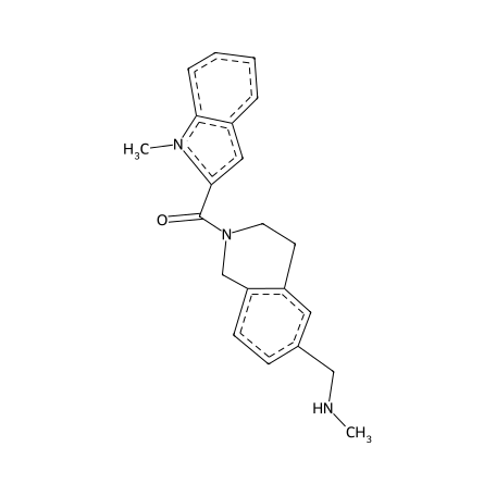 CNCc1ccc2c(c1)CCN(C(=O)c1cc3ccccc3n1C)C2